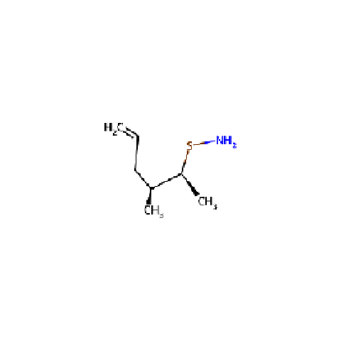 C=CC[C@H](C)[C@H](C)SN